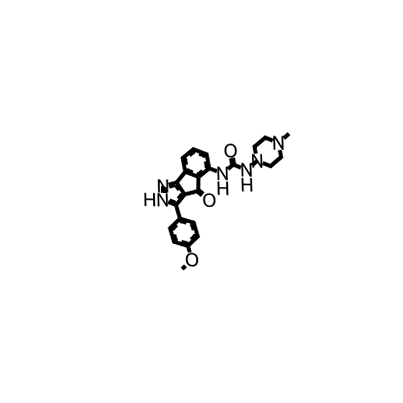 COc1ccc(-c2[nH]nc3c2C(=O)c2c(NC(=O)NN4CCN(C)CC4)cccc2-3)cc1